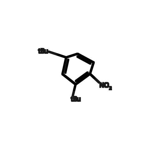 CC(C)(C)c1ccc([N+](=O)[O-])c(C(C)(C)C)c1